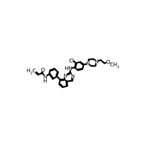 C=CC(=O)Nc1cccc(-c2cccc3cnc(Nc4ccc(N5CCN(CCOC)CC5)cc4Cl)nc23)c1